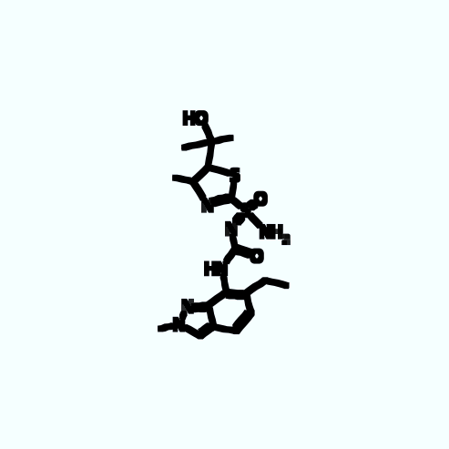 CCc1ccc2cn(C)nc2c1NC(=O)N=S(N)(=O)C1=NC(C)C(C(C)(C)O)S1